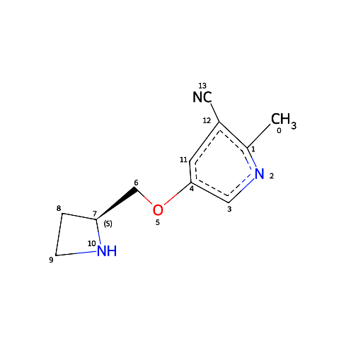 Cc1ncc(OC[C@@H]2CCN2)cc1C#N